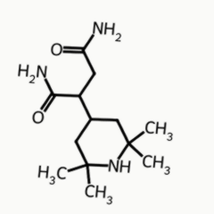 CC1(C)CC(C(CC(N)=O)C(N)=O)CC(C)(C)N1